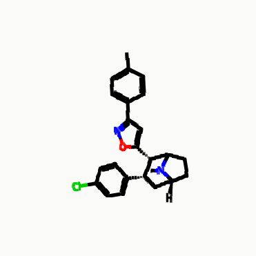 Cc1ccc(-c2cc([C@@H]3C4CC[C@H](C[C@@H]3c3ccc(Cl)cc3)N4C)on2)cc1